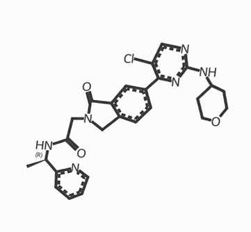 C[C@@H](NC(=O)CN1Cc2ccc(-c3nc(NC4CCOCC4)ncc3Cl)cc2C1=O)c1ccccn1